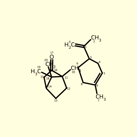 C=C(C)C1CC=C(C)CC1.CC12CCC(CC1=O)C2(C)C